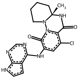 C[C@]12CCCCN1n1c(c(Cl)cc(Nc3ncnc4[nH]ccc34)c1=O)C(=O)N2